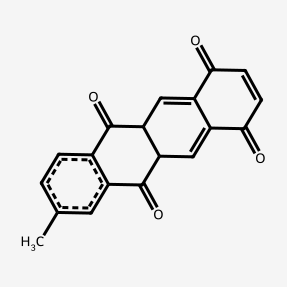 Cc1ccc2c(c1)C(=O)C1C=C3C(=O)C=CC(=O)C3=CC1C2=O